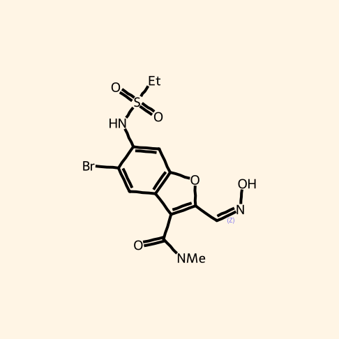 CCS(=O)(=O)Nc1cc2oc(/C=N\O)c(C(=O)NC)c2cc1Br